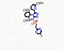 COc1cccc(-c2nnc(NS(=O)(=O)CCc3ncc(F)cn3)n2-c2c(OC)cccc2OC)n1